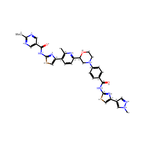 COc1ncc(C(=O)Nc2nc(-c3ccc(C4CN(c5ccc(C(=O)Nc6nc(-c7cnn(C)c7)cs6)cc5)CCO4)nc3C)cs2)cn1